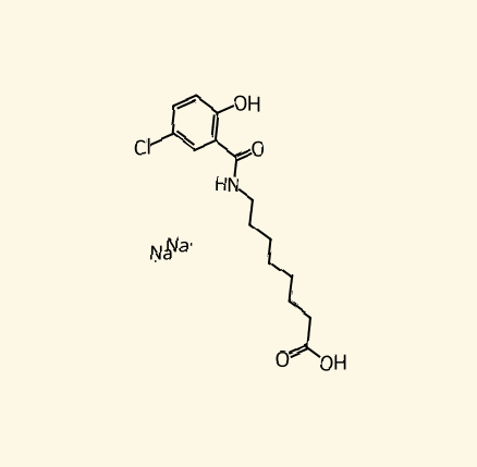 O=C(O)CCCCCCCNC(=O)c1cc(Cl)ccc1O.[Na].[Na]